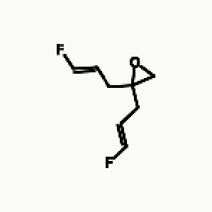 FC=CCC1(CC=CF)CO1